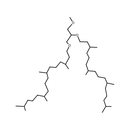 COCC(COCCC(C)CCCC(C)CCCC(C)CCCC(C)C)OCCC(C)CCCC(C)CCCC(C)CCCC(C)C